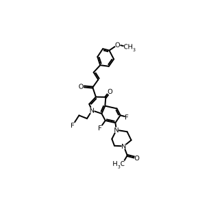 COc1ccc(/C=C/C(=O)c2cn(CCF)c3c(F)c(N4CCN(C(C)=O)CC4)c(F)cc3c2=O)cc1